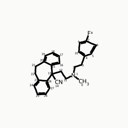 CN(CCc1ccc(F)cc1)CCC1(C#N)c2ccccc2CCc2ccccc21